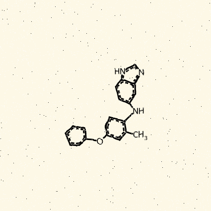 Cc1cc(Oc2ccccc2)ccc1Nc1ccc2[nH]cnc2c1